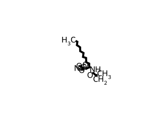 C=C(C)C(=O)NC(CCCCCCCCCC)CS(=O)(=O)[O-].[Na+]